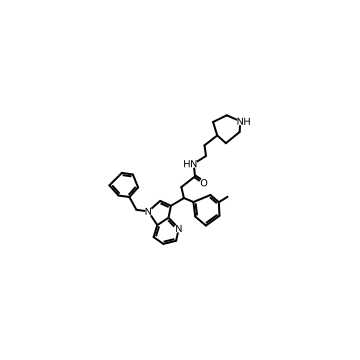 Cc1cccc(C(CC(=O)NCCC2CCNCC2)c2cn(Cc3ccccc3)c3cccnc23)c1